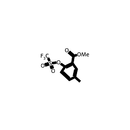 COC(=O)c1cc(C)ccc1OS(=O)(=O)C(F)(F)F